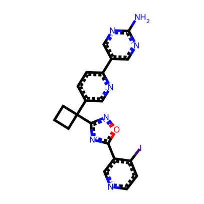 Nc1ncc(-c2ccc(C3(c4noc(-c5cnccc5I)n4)CCC3)cn2)cn1